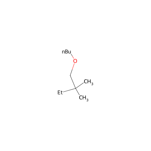 [CH2]CCCOCC(C)(C)CC